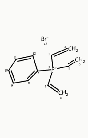 C=C[P+](C=C)(C=C)c1ccccc1.[Br-]